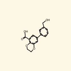 O=C(O)c1cc(-c2cccc(CO)c2)cc2c1OCCO2